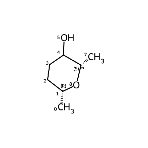 C[C@@H]1CCC(O)[C@H](C)O1